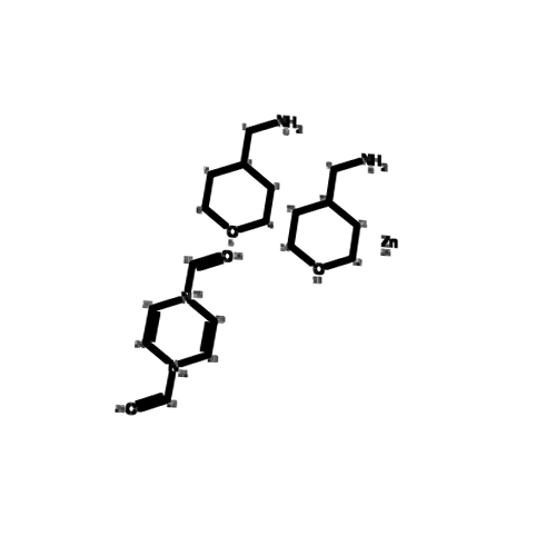 NCC1CCOCC1.NCC1CCOCC1.O=CN1C=CN(C=O)C=C1.[Zn]